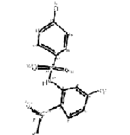 C[S+]([O-])c1ccc(Cl)cc1NS(=O)(=O)c1ccc(Cl)cc1